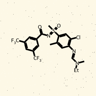 CCN(C)C=Nc1cc(C)c(S(C)(=O)=NC(=O)c2cc(C(F)(F)F)cc(C(F)(F)F)c2)cc1Cl